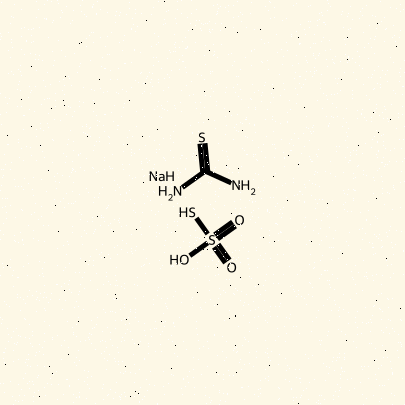 NC(N)=S.O=S(=O)(O)S.[NaH]